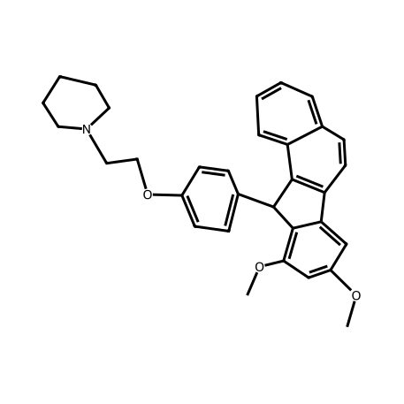 COc1cc(OC)c2c(c1)-c1ccc3ccccc3c1C2c1ccc(OCCN2CCCCC2)cc1